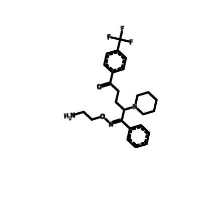 NCCON=C(c1ccccc1)C(CCC(=O)c1ccc(C(F)(F)F)cc1)N1CCCCC1